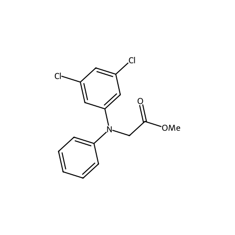 COC(=O)CN(c1ccccc1)c1cc(Cl)cc(Cl)c1